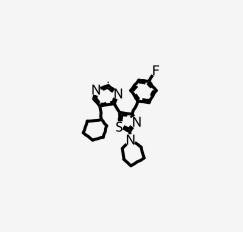 Fc1ccc(-c2nc(N3CCCCC3)sc2-c2n[c]ncc2C2CCCCC2)cc1